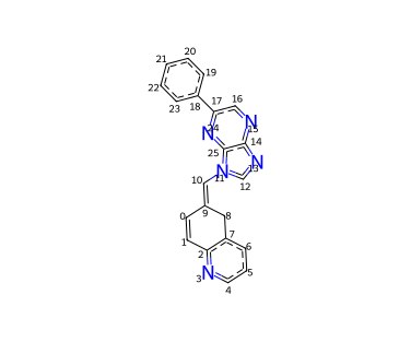 C1=Cc2ncccc2CC1=Cn1cnc2ncc(-c3ccccc3)nc21